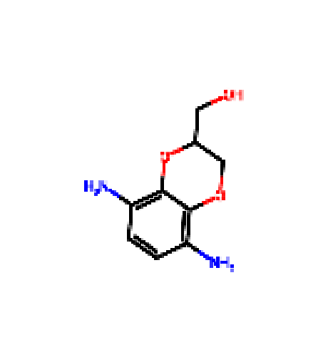 Nc1ccc(N)c2c1OCC(CO)O2